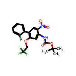 CC(C)(C)OC(=O)Nc1cc(OCC(F)(F)F)c(-c2ccccc2F)cc1[N+](=O)[O-]